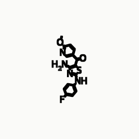 COc1ccc(C(=O)c2sc(Nc3ccc(F)cc3)nc2N)cn1